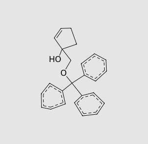 OC1(COC(c2ccccc2)(c2ccccc2)c2ccccc2)C=CCC1